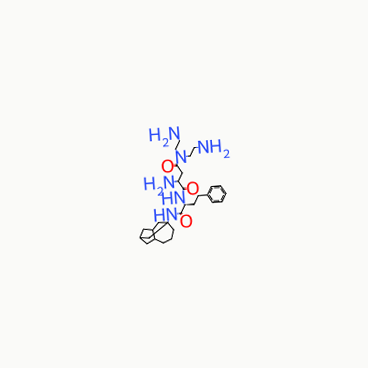 NCCN(CCN)C(=O)C[C@H](N)C(=O)N[C@@H](CCc1ccccc1)C(=O)NC12CCCC3CC(CC3C1)C2